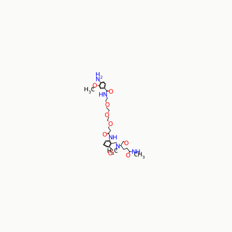 CNC(=O)CCC(C=O)N(C)Cc1c(C=O)cccc1NC(=O)CCOCCOCCOCCNC(=O)c1ccc(N)c(OC)c1